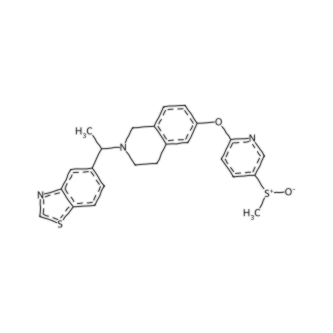 CC(c1ccc2scnc2c1)N1CCc2cc(Oc3ccc([S+](C)[O-])cn3)ccc2C1